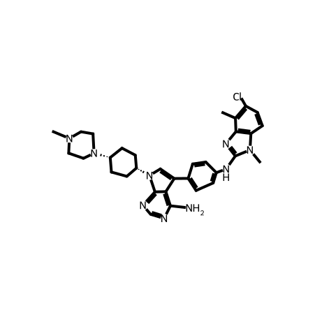 Cc1c(Cl)ccc2c1nc(Nc1ccc(-c3cn([C@H]4CC[C@@H](N5CCN(C)CC5)CC4)c4ncnc(N)c34)cc1)n2C